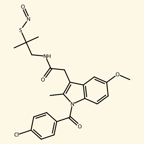 COc1ccc2c(c1)c(CC(=O)NCC(C)(C)SN=O)c(C)n2C(=O)c1ccc(Cl)cc1